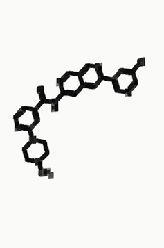 CN1CCN(c2cc(C(=O)Nc3cc4cc(-c5cncc(Cl)c5)ncc4cn3)ccn2)CC1